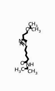 CC(C)NC(=O)CCCCCn1cc(CCOC(C)C)nn1